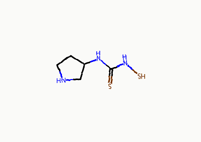 S=C(NS)NC1CCNC1